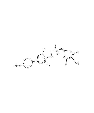 CCCC1COC(c2cc(F)c(OCC(F)(F)Oc3cc(F)c(C(F)(F)F)c(F)c3)c(F)c2)OC1